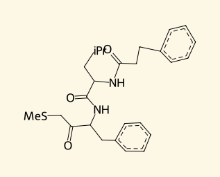 CSCC(=O)C(Cc1ccccc1)NC(=O)C(CC(C)C)NC(=O)CCc1ccccc1